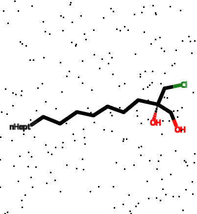 CCCCCCCCCCCCCC[C@](O)(CO)CCl